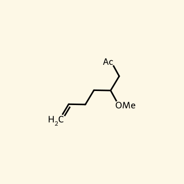 C=CCCC(CC(C)=O)OC